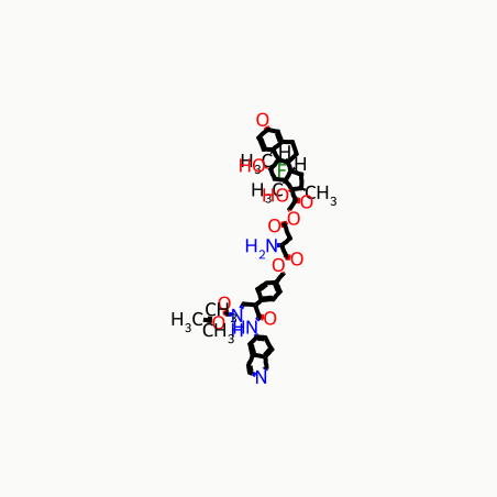 C[C@@H]1C[C@H]2[C@@H]3CCC4=CC(=O)C=C[C@]4(C)[C@@]3(F)[C@@H](O)C[C@]2(C)[C@@]1(O)C(=O)COC(=O)CC(N)C(=O)OCc1ccc(C(CNC(=O)OC(C)(C)C)C(=O)Nc2ccc3cnccc3c2)cc1